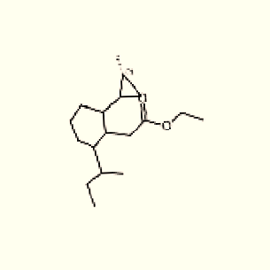 CCOC(=O)CC1C(C(C)CC)CCCC1C1C[C@H]1C